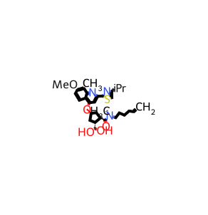 C=CCCCCN(C)C(=O)[C@@H]1C[C@H](Oc2cc(-c3nc(C(C)C)cs3)nc3c(C)c(OC)ccc23)C[C@H]1C(O)O